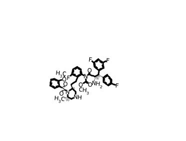 COC(=O)N(C(=O)[C@@H](N)[C@@H](c1ccc(F)cc1)c1cc(F)cc(F)c1)c1cccc(F)c1CC[C@H]1CNC[C@H](C)N1S(=O)(=O)c1ccccc1OC